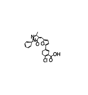 CC1=NN(c2ccccc2)C(=O)/C1=C\c1ccc(-c2ccc(Cl)c(C(=O)O)c2)o1